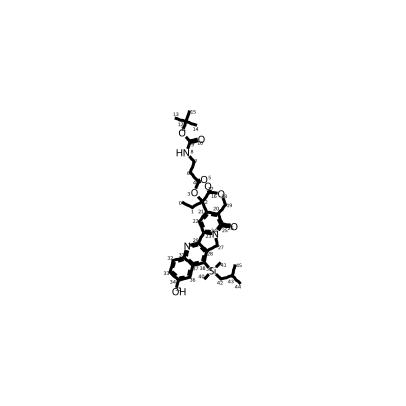 CCC1(OC(=O)CCNC(=O)OC(C)(C)C)C(=O)OCc2c1cc1n(c2=O)Cc2c-1nc1ccc(O)cc1c2[Si](C)(C)CC(C)C